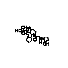 CC(C)(O)c1ccc2c(c1)C(C1CCCCC1)N(C(=O)CN[C@H]1CCC[C@@H]1O)CC2